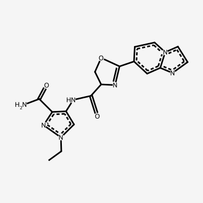 CCn1cc(NC(=O)C2COC(c3ccn4ccnc4c3)=N2)c(C(N)=O)n1